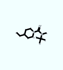 CCC1CCN(C(=O)N(C)C(C)(C)C)CC1